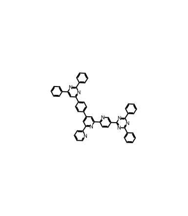 c1ccc(-c2cc(-c3ccc(-c4cc(-c5ccccn5)nc(-c5ccc(-c6nc(-c7ccccc7)nc(-c7ccccc7)n6)cn5)c4)cc3)nc(-c3ccccc3)n2)cc1